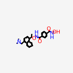 CC(ONC(=O)c1ccc(C(=O)NO)cc1)c1ccc(CN(C)C)c2ccccc12